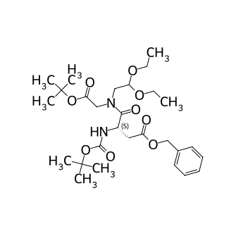 CCOC(CN(CC(=O)OC(C)(C)C)C(=O)[C@H](CC(=O)OCc1ccccc1)NC(=O)OC(C)(C)C)OCC